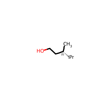 CC(C)[C@@H](C)CCO